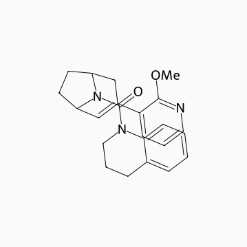 COc1ncccc1C1=CC2CCC(C1)N2C(=O)N1CCCc2ccccc21